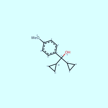 COc1ccc(C(O)(C2CC2)C2CC2)cc1